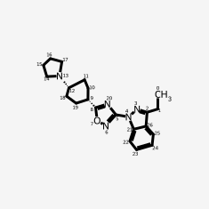 CCc1nn(-c2noc([C@H]3CC[C@@H](N4CCCC4)CC3)n2)c2ccccc12